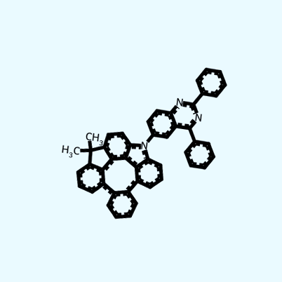 CC1(C)c2cccc3c4ccccc4c4cccc5c4c4c(c1ccc4n5-c1ccc4nc(-c5ccccc5)nc(-c5ccccc5)c4c1)c23